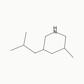 CC(C)CC1CNCC(C)C1